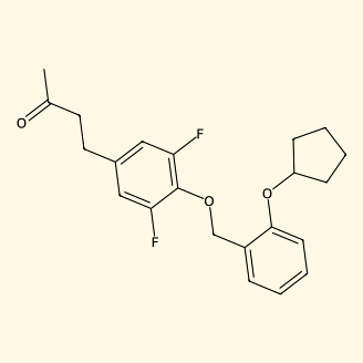 CC(=O)CCc1cc(F)c(OCc2ccccc2OC2CCCC2)c(F)c1